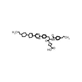 CCCc1ccc(C(=O)NC(Cc2ccc(-c3ncc(C4=CCC(C5CCC(CCC)CC5)CC4)cn3)cc2)C(=O)N2CC(C(=O)O)C2)cc1